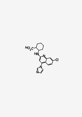 O=C(O)C1CCCCC1Nc1cc(-n2ccnc2)c2ccc(Cl)cc2n1